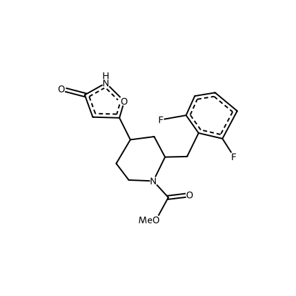 COC(=O)N1CCC(c2cc(=O)[nH]o2)CC1Cc1c(F)cccc1F